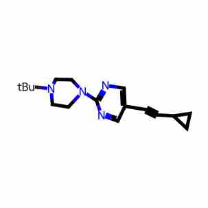 CC(C)(C)N1CCN(c2ncc(C#CC3CC3)cn2)CC1